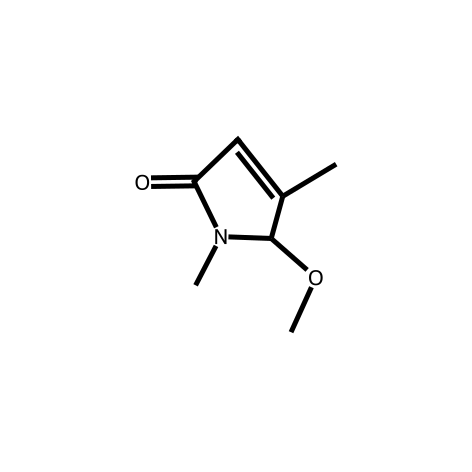 COC1C(C)=CC(=O)N1C